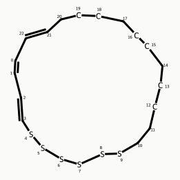 C1=C\C=C\SSSSSSCCCCCCCCCCC/C=C/1